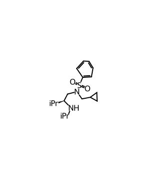 CC(C)N[C@H](CN(CC1CC1)S(=O)(=O)c1ccccc1)C(C)C